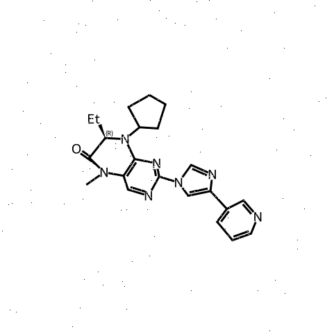 CC[C@@H]1C(=O)N(C)c2cnc(-n3cnc(-c4cccnc4)c3)nc2N1C1CCCC1